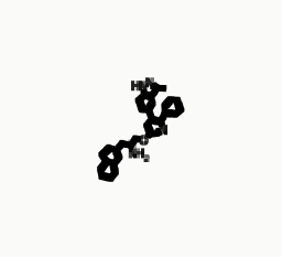 Cc1n[nH]c2ccc(-c3cc(OC[C@@H](N)Cc4ccc5ccccc5c4)cnc3-c3ccccc3)cc12